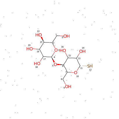 OCC1O[C@@H](O[C@@H]2C(CO)O[C@@H](S)C(O)C2O)C(O)C(O)[C@H]1O